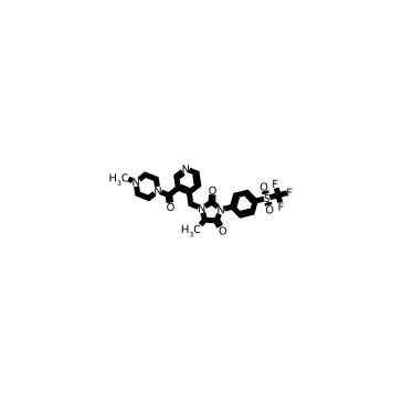 CC1C(=O)N(c2ccc(S(=O)(=O)C(F)(F)F)cc2)C(=O)N1Cc1ccncc1C(=O)N1CCN(C)CC1